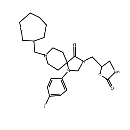 O=C1NCC(CN2CN(c3ccc(F)cc3)C3(CCN(CC4CCCCCCC4)CC3)C2=O)O1